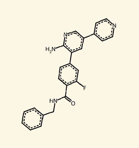 Nc1ncc(-c2ccncc2)cc1-c1ccc(C(=O)NCc2ccccc2)c(F)c1